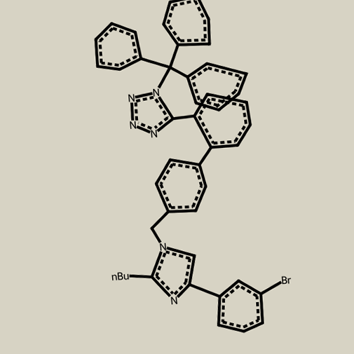 CCCCc1nc(-c2cccc(Br)c2)cn1Cc1ccc(-c2ccccc2-c2nnnn2C(c2ccccc2)(c2ccccc2)c2ccccc2)cc1